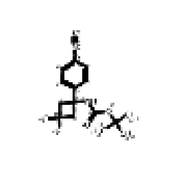 [C-]#[N+]c1ccc(C2(NC(=O)OC(C)(C)C)CC(F)(F)C2)cc1